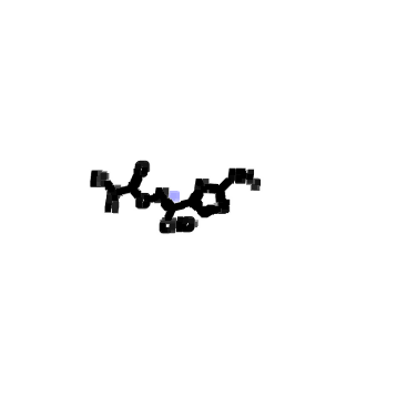 CCNC(=O)O/N=C(\[C]=O)c1csc(N)n1